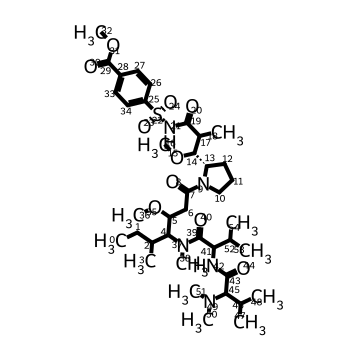 CCC(C)C(C(CC(=O)N1CCC[C@H]1C(OC)C(C)C(=O)NS(=O)(=O)c1ccc(C(=O)OC)cc1)OC)N(C)C(=O)C(NC(=O)C(C(C)C)N(C)C)C(C)C